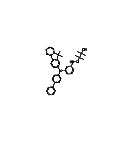 CC1(C)c2ccccc2-c2ccc(N(c3ccc(-c4ccccc4)cc3)c3cccc(BOC(C)(C)C(C)(C)O)c3)cc21